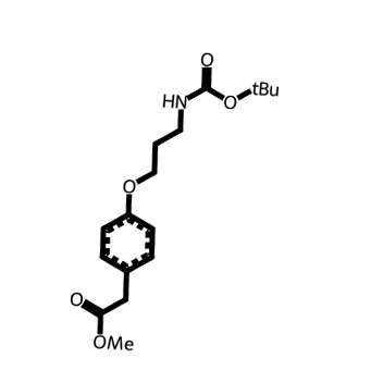 COC(=O)Cc1ccc(OCCCNC(=O)OC(C)(C)C)cc1